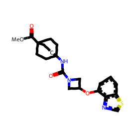 COC(=O)C12CCC(NC(=O)N3CC(Oc4cccc5scnc45)C3)(CC1)CC2